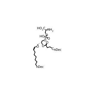 CCCCCCCCCCCCCCCC/C=C\OC[C@H](COP(=O)(O)OC[C@H](N)C(=O)O)OC(=O)CCCCCCCCCCCCC